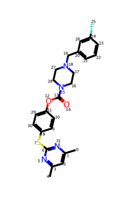 Cc1cc(C)nc(Sc2ccc(OC(=O)N3CCN(Cc4cccc(F)c4)CC3)cc2)n1